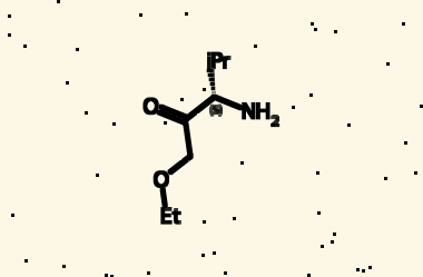 CCOCC(=O)[C@@H](N)C(C)C